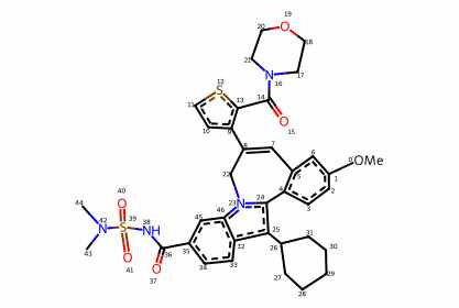 COc1ccc2c(c1)C=C(c1ccsc1C(=O)N1CCOCC1)Cn1c-2c(C2CCCCC2)c2ccc(C(=O)NS(=O)(=O)N(C)C)cc21